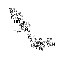 C[C@@H]1CN(CCCO[C@H]2CC[C@H](N3C(=S)N(c4ccc(C#N)c(C(F)(F)F)c4)C(=O)C3(C)C)CC2)C[C@H](C)N1CC(=O)Nc1cccc(C2CCC(=O)NC2=O)c1